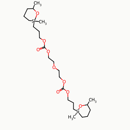 CC1CCC[Si](C)(CCCOC(=O)OCCOCCOC(=O)OCCC[Si]2(C)CCCC(C)O2)O1